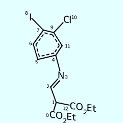 CCOC(=O)C(C=Nc1ccc(I)c(Cl)c1)C(=O)OCC